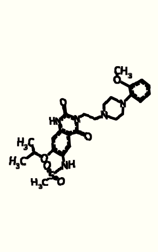 COc1ccccc1N1CCN(CCn2c(=O)[nH]c3cc(OC(C)C)c(NS(C)(=O)=O)cc3c2=O)CC1